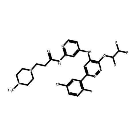 CN1CCN(CCC(=O)Nc2cc(Nc3cc(-c4cc(Cl)ccc4F)nnc3OC(F)C(F)F)ccn2)CC1